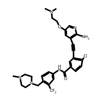 CN(C)CCOc1cnc(N)c(C#Cc2cc(C(=O)Nc3ccc(CN4CCN(C)CC4)c(C(F)(F)F)c3)ccc2Cl)c1